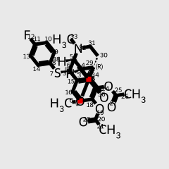 COC1=C[C@@H]2[C@@H]3[C@H](Sc4ccc(F)cc4)c4ccc(OC(C)=O)c(OC(C)=O)c4[C@]2(CCN3C)CC1=O